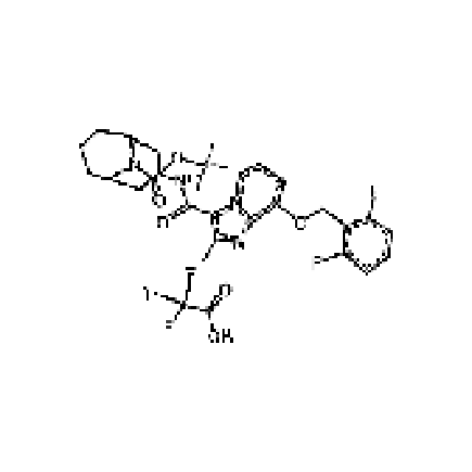 Cc1nc2c(OCc3c(F)cccc3F)cccn2c1C(=O)NC1CC2CCCC(C1)N2C(=O)OC(C)(C)C.O=C(O)C(F)(F)F